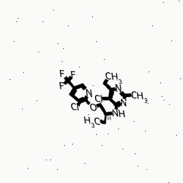 CCc1nc(C)nc(N[C@@H](CC)COc2ncc(C(F)(F)F)cc2Cl)c1Cl